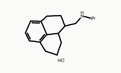 CC(C)NCC1CCc2cccc3c2C1CCC3.Cl